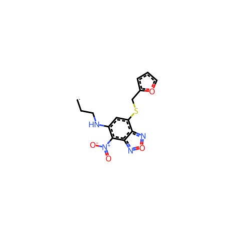 [CH2]CCNc1cc(SCc2ccco2)c2nonc2c1[N+](=O)[O-]